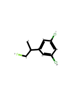 CC(CF)c1cc(Cl)cc(Cl)c1